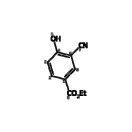 CCOC(=O)c1ccc(O)c(C#N)c1